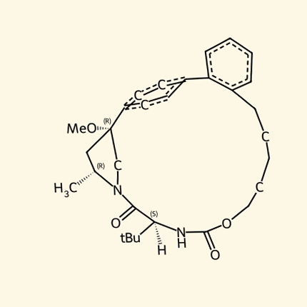 CO[C@@]12C[C@@H](C)N(C1)C(=O)[C@H](C(C)(C)C)NC(=O)OCCCCCc1ccccc1-c1ccc2cc1